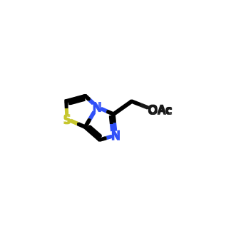 CC(=O)OCc1ncc2sccn12